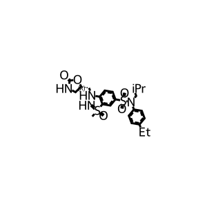 CCc1ccc(N(CC(C)C)S(=O)(=O)c2ccc(NC[C@@H]3CNC(=O)O3)c(S(C)(=N)=O)c2)cc1